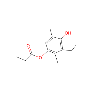 CCC(=O)Oc1cc(C)c(O)c(CC)c1C